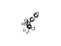 Cc1cc2[nH]c(=O)n(C3CCN(C4CCOCC4)CC3)c2cc1Cl